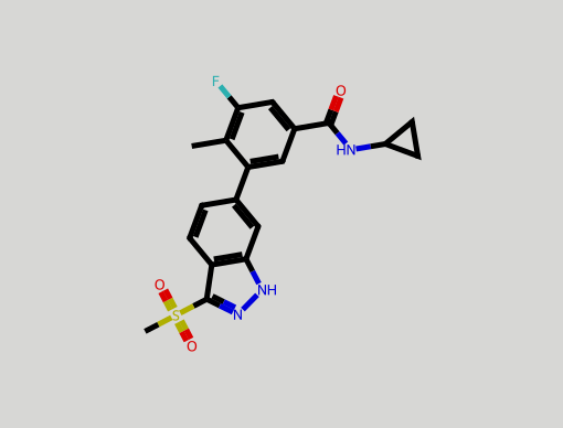 Cc1c(F)cc(C(=O)NC2CC2)cc1-c1ccc2c(S(C)(=O)=O)n[nH]c2c1